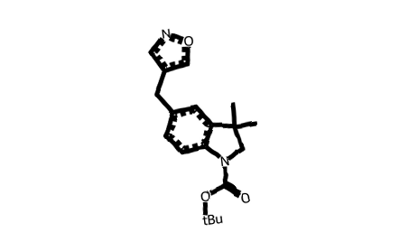 CC(C)(C)OC(=O)N1CC(C)(C)c2cc(Cc3cnoc3)ccc21